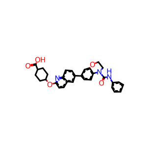 O=C(O)C1CCC(Oc2ccc3cc(-c4ccc5c(c4)OCCN5C(=O)Nc4ccccc4)ccc3n2)CC1